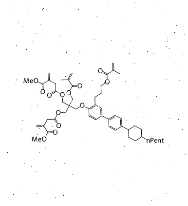 C=C(C)C(=O)OCCCc1cc(-c2ccc(C3CCC(CCCCC)CC3)cc2)ccc1OCC(COC(=O)CC(=C)C(=O)OC)(COC(=O)CC(=C)C(=O)OC)COC(=O)C(=C)C